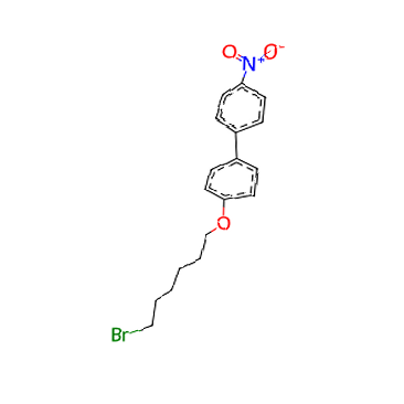 O=[N+]([O-])c1ccc(-c2ccc(OCCCCCCBr)cc2)cc1